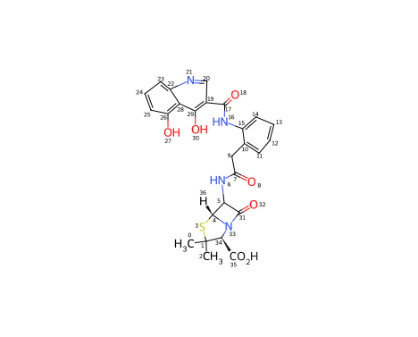 CC1(C)S[C@@H]2C(NC(=O)Cc3ccccc3NC(=O)c3cnc4cccc(O)c4c3O)C(=O)N2[C@H]1C(=O)O